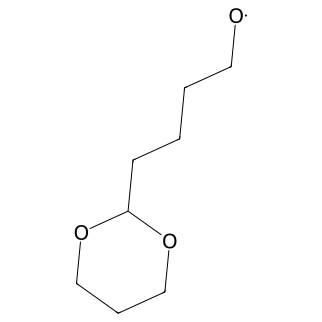 [O]CCCCC1OCCCO1